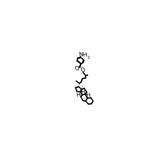 CC(CCCC(C)[C@H]1CC[C@H]2[C@@H]3CCC4CCCC[C@]4(C)[C@H]3CC[C@]12C)COC(=O)c1ccc(N)cc1